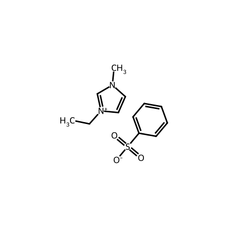 CC[n+]1ccn(C)c1.O=S(=O)([O-])c1ccccc1